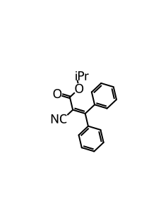 CC(C)OC(=O)C(C#N)=C(c1ccccc1)c1ccccc1